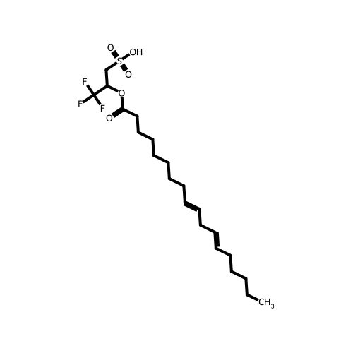 CCCCC/C=C/C/C=C/CCCCCCCC(=O)OC(CS(=O)(=O)O)C(F)(F)F